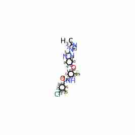 Cc1cn(-c2cnc3ccc(Oc4ccc(NC(=O)c5ccc(Cl)c(F)c5)cc4F)cc3n2)cn1